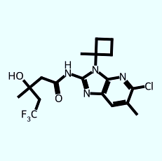 Cc1cc2nc(NC(=O)CC(C)(O)CC(F)(F)F)n(C3(C)CCC3)c2nc1Cl